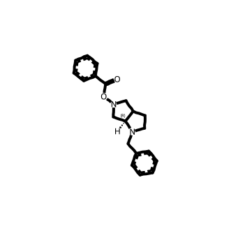 O=C(ON1CC2CCN(Cc3ccccc3)[C@H]2C1)c1ccccc1